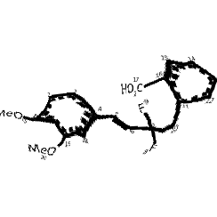 COc1ccc(/C=C/C(F)(F)Cc2ccccc2C(=O)O)cc1OC